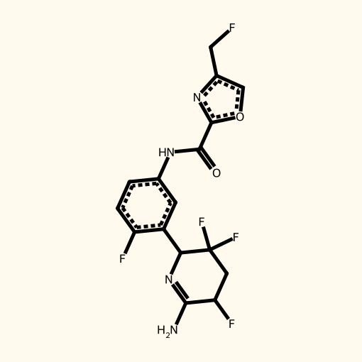 NC1=NC(c2cc(NC(=O)c3nc(CF)co3)ccc2F)C(F)(F)CC1F